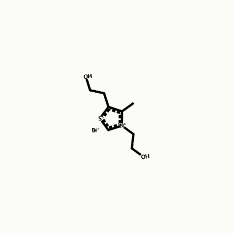 Cc1c(CCO)sc[n+]1CCO.[Br-]